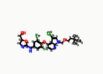 C[Si](C)(C)CCOCn1cc(Cl)c2c(Oc3c(F)cc(NC4=NCC(CO)O4)cc3F)ccnc21